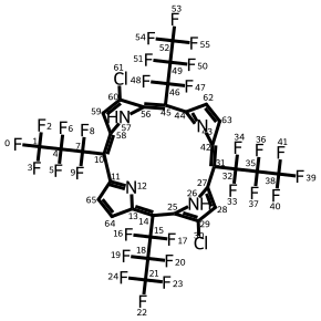 FC(F)(F)C(F)(F)C(F)(F)c1c2nc(c(C(F)(F)C(F)(F)C(F)(F)F)c3[nH]c(cc3Cl)c(C(F)(F)C(F)(F)C(F)(F)F)c3nc(c(C(F)(F)C(F)(F)C(F)(F)F)c4[nH]c1cc4Cl)C=C3)C=C2